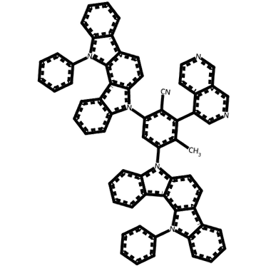 Cc1c(-n2c3ccccc3c3c2ccc2c4ccccc4n(-c4ccccc4)c23)cc(-n2c3ccccc3c3c2ccc2c4ccccc4n(-c4ccccc4)c23)c(C#N)c1-c1cncc2cnccc12